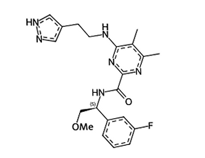 COC[C@@H](NC(=O)c1nc(C)c(C)c(NCCc2cn[nH]c2)n1)c1cccc(F)c1